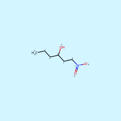 CCCC(O)CC[N+](=O)[O-]